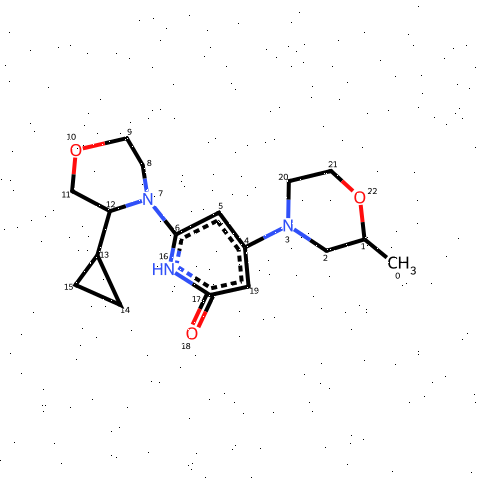 CC1CN(c2cc(N3CCOCC3C3CC3)[nH]c(=O)c2)CCO1